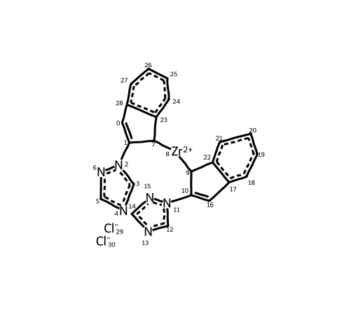 C1=C(n2cncn2)[CH]([Zr+2][CH]2C(n3cncn3)=Cc3ccccc32)c2ccccc21.[Cl-].[Cl-]